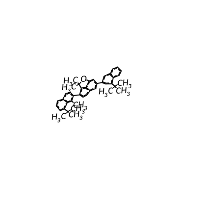 Cc1c(-c2ccc3cc(-c4cc(C(C)(C)C)c5ccccc5c4)cc4c3c2C(C)(C)O4)ccc2cccc(C(C)(C)C)c12